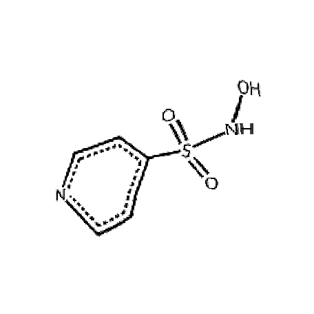 O=S(=O)(NO)c1ccncc1